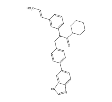 O=C(O)C=Cc1cccc(N(Cc2ccc(-c3ccc4nc[nH]c4c3)cc2)C(=O)C2CCCCC2)c1